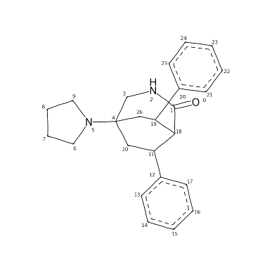 O=C1NCC2(N3CCCC3)CC(c3ccccc3)C1C(c1ccccc1)C2